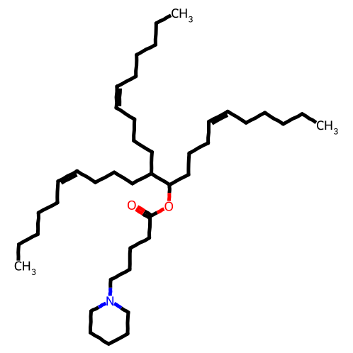 CCCCC/C=C\CCCC(CCC/C=C\CCCCC)C(CCC/C=C\CCCCC)OC(=O)CCCCN1CCCCC1